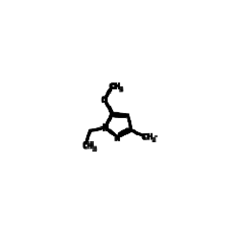 [CH2]c1cc(OC)n(CC)n1